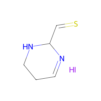 I.S=CC1N=CCCN1